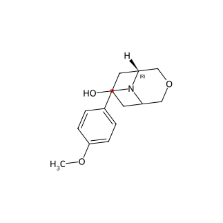 COc1ccc(CN2C3COC[C@H]2CC(O)C3)cc1